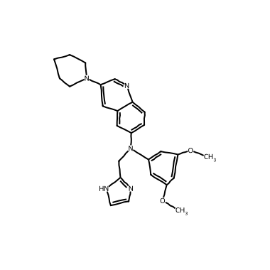 COc1cc(OC)cc(N(Cc2ncc[nH]2)c2ccc3ncc(N4CCCCC4)cc3c2)c1